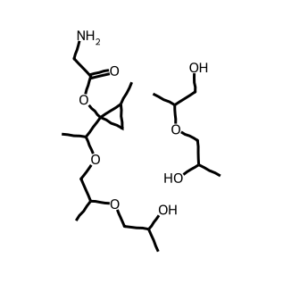 CC(O)COC(C)CO.CC(O)COC(C)COC(C)C1(OC(=O)CN)CC1C